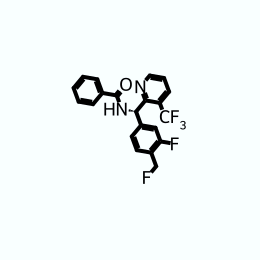 O=C(N[C@@H](c1ccc(CF)c(F)c1)c1ncccc1C(F)(F)F)c1ccccc1